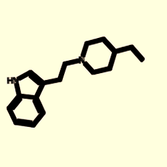 CCC1CCN(CCc2c[nH]c3ccccc23)CC1